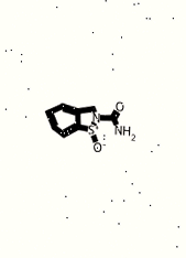 NC(=O)N1Cc2ccccc2[S+]1[O-]